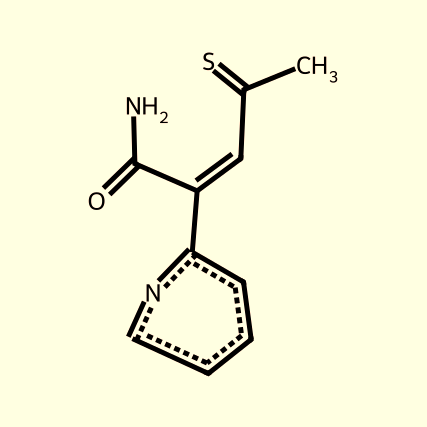 CC(=S)C=C(C(N)=O)c1ccccn1